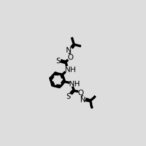 CC(C)=NOC(=S)Nc1ccccc1NC(=S)ON=C(C)C